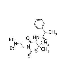 CCN(CC)CCN1C(=O)C(NC(=O)C(C)c2ccccc2)C(C)(C)SC1=S